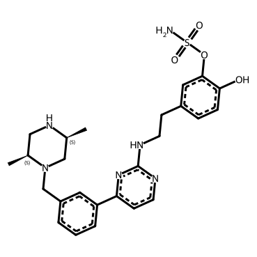 C[C@H]1CN(Cc2cccc(-c3ccnc(NCCc4ccc(O)c(OS(N)(=O)=O)c4)n3)c2)[C@@H](C)CN1